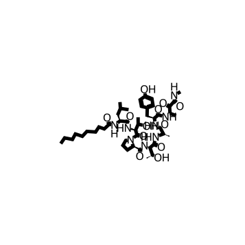 CCCCCCCCCC(=O)N[C@@H](CC(C)C)C(=O)N[C@H](C(=O)N1CCC[C@@H]1C(=O)N[C@H](C(=O)N[C@@H](C)C(=O)N[C@@H](Cc1ccc(O)cc1)C(=O)NC(C)C(=O)C(=O)NC)[C@@H](C)O)C(C)O